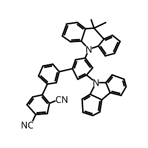 CC1(C)c2ccccc2N(c2cc(-c3cccc(-c4ccc(C#N)cc4C#N)c3)cc(-n3c4ccccc4c4ccccc43)c2)c2ccccc21